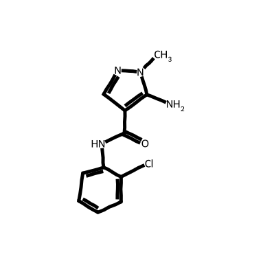 Cn1ncc(C(=O)Nc2ccccc2Cl)c1N